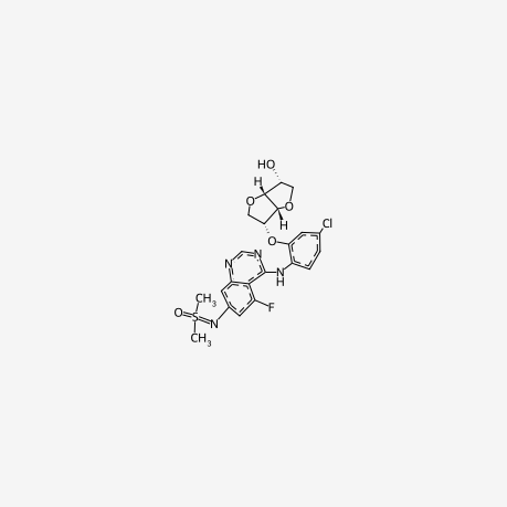 CS(C)(=O)=Nc1cc(F)c2c(Nc3ccc(Cl)cc3O[C@@H]3CO[C@H]4[C@@H]3OC[C@H]4O)ncnc2c1